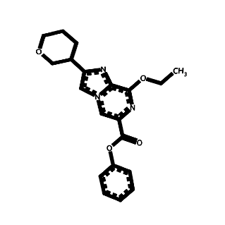 CCOc1nc(C(=O)Oc2ccccc2)cn2cc(C3CCCOC3)nc12